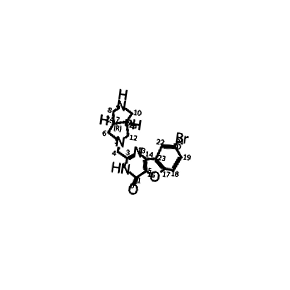 O=c1[nH]c(CN2C[C@H]3CNC[C@H]3C2)nc2c1oc1ccc(Br)cc12